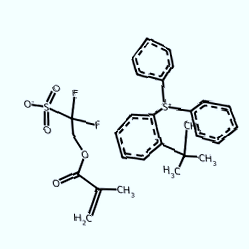 C=C(C)C(=O)OCC(F)(F)S(=O)(=O)[O-].CC(C)(C)c1ccccc1[S+](c1ccccc1)c1ccccc1